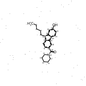 CCCCCn1c2ccc(C(=O)N3CCCCC3)cc2c2ccc(O)cc21